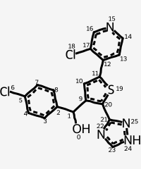 OC(c1ccc(Cl)cc1)c1cc(-c2ccncc2Cl)sc1-c1nc[nH]n1